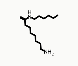 C=C(CCCCCCCN)NCCCCCC